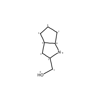 OCC1CC2CCCC2[N]1